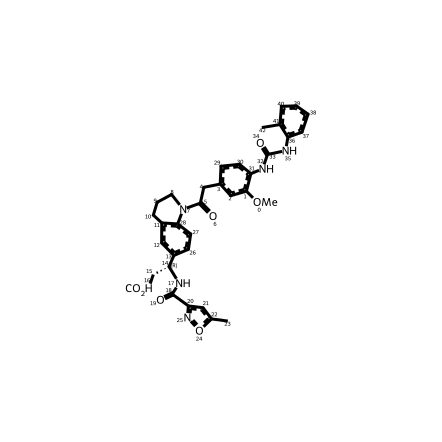 COc1cc(CC(=O)N2CCCc3cc([C@@H](CC(=O)O)NC(=O)c4cc(C)on4)ccc32)ccc1NC(=O)Nc1ccccc1C